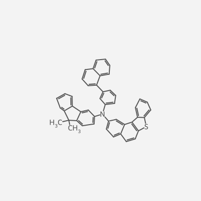 CC1(C)c2ccccc2-c2cc(N(c3cccc(-c4cccc5ccccc45)c3)c3ccc4ccc5sc6ccccc6c5c4c3)ccc21